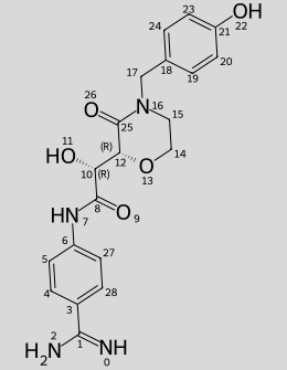 N=C(N)c1ccc(NC(=O)[C@H](O)[C@H]2OCCN(Cc3ccc(O)cc3)C2=O)cc1